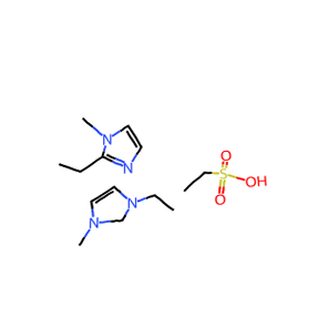 CCN1C=CN(C)C1.CCS(=O)(=O)O.CCc1nccn1C